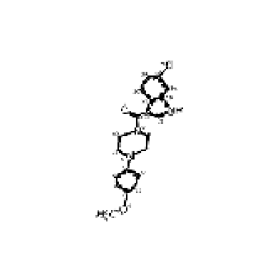 COc1ccc(N2CCN(C(=O)c3c[nH]c4cc(Cl)ccc34)CC2)cc1